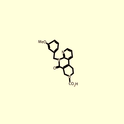 COc1cccc(Cn2c(=O)c3c(c4cccnc42)CCN(C(=O)O)C3)c1